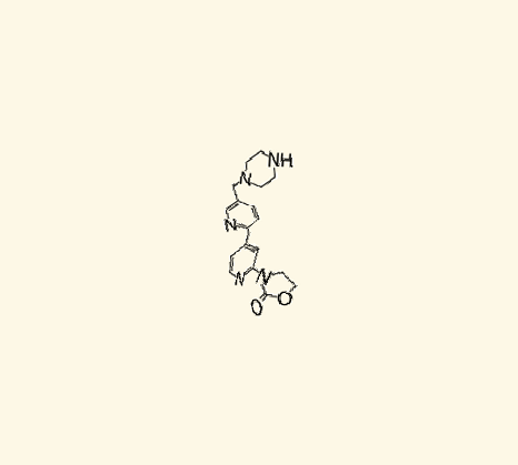 O=C1OCCN1c1cc(-c2ccc(CN3CCNCC3)cn2)ccn1